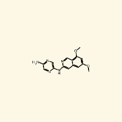 COc1cc(OC)c2cnc(Nc3cnc(N)cn3)cc2c1